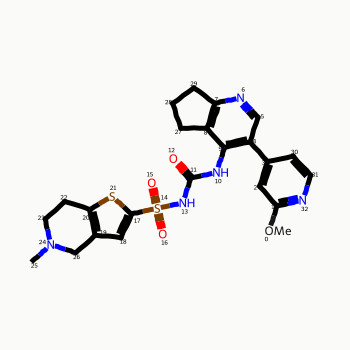 COc1cc(-c2cnc3c(c2NC(=O)NS(=O)(=O)c2cc4c(s2)CCN(C)C4)CCC3)ccn1